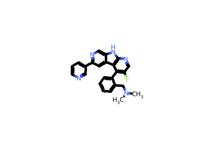 CN(C)Cc1ccccc1-c1c(F)cnc2[nH]c3cnc(-c4cccnc4)cc3c12